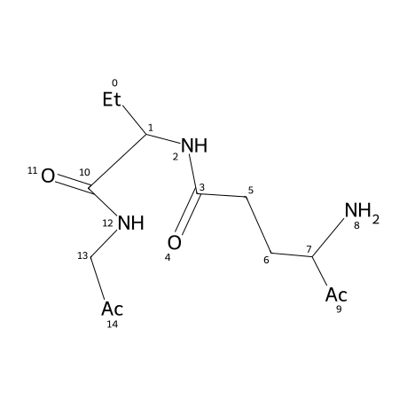 CCC(NC(=O)CCC(N)C(C)=O)C(=O)NCC(C)=O